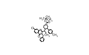 CCC(c1nc2cc(Cl)ccc2c(=O)n1Cc1ccccc1)N1CCN(C(=O)OC(C)(C)C)CC1c1ccc(C)cc1